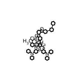 CC1(C)CCC(C)(C)c2c(N3c4cc(N(c5ccccc5)c5ccccc5)ccc4B4c5ccc(N(c6ccccc6)c6ccccc6)cc5Sc5cc(-c6ccc7c(c6)oc6ccc8oc9cc(-c%10cccc(-c%11ccccc%11)c%10)ccc9c8c67)cc3c54)cccc21